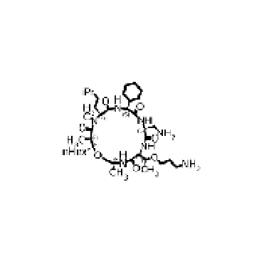 CCCCCC[C@H]1OC[C@@H](C)NC(=O)[C@H]([C@H](C)OCCCN)NC(=O)[C@H](CN)NC(=O)[C@H](C2CCCCC2)NC(=O)[C@H](CCC(C)C)N(C)C(=O)[C@@H]1C